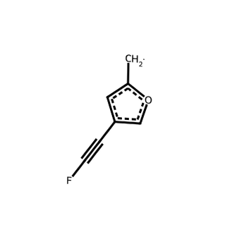 [CH2]c1cc(C#CF)co1